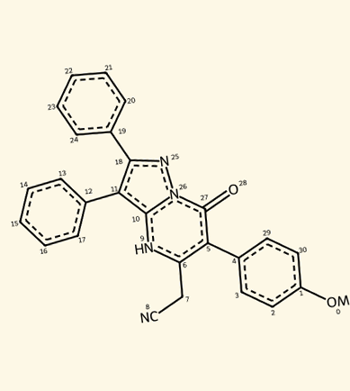 COc1ccc(-c2c(CC#N)[nH]c3c(-c4ccccc4)c(-c4ccccc4)nn3c2=O)cc1